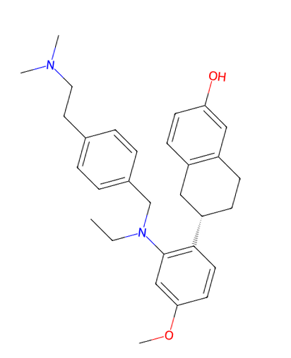 CCN(Cc1ccc(CCN(C)C)cc1)c1cc(OC)ccc1[C@H]1CCc2cc(O)ccc2C1